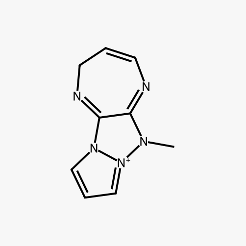 Cn1c2c(n3ccc[n+]13)=NCC=CN=2